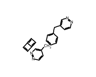 Cc1ccnnc1.c1cc2ccc1-2.c1ccc(Cc2ccnnc2)cc1